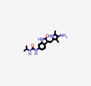 Cc1[nH]c(/C=C2\C(=O)Nc3cc(NC(=O)NC(C)C)ccc32)c(C)c1N